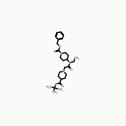 CCN(C(=O)CN1CCC(C(=O)OC(C)(C)C)CC1)C1CCN(C(=O)OCc2ccccc2)CC1